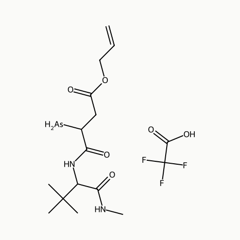 C=CCOC(=O)CC([AsH2])C(=O)NC(C(=O)NC)C(C)(C)C.O=C(O)C(F)(F)F